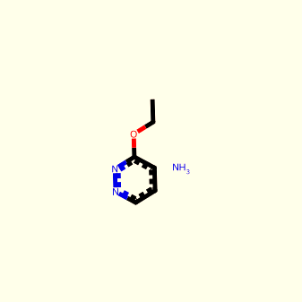 CCOc1cccnn1.N